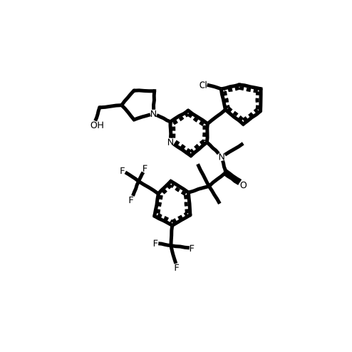 CN(C(=O)C(C)(C)c1cc(C(F)(F)F)cc(C(F)(F)F)c1)c1cnc(N2CCC(CO)C2)cc1-c1ccccc1Cl